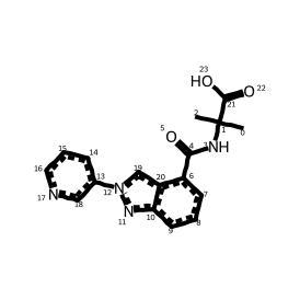 CC(C)(NC(=O)c1cccc2nn(-c3cccnc3)cc12)C(=O)O